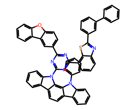 c1ccc(-c2cccc(-c3nc4cccc(-c5nc(-c6ccc7oc8ccccc8c7c6)nc(-n6c7ccccc7c7ccc8c9ccccc9n(-c9ccccc9)c8c76)n5)c4s3)c2)cc1